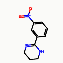 O=[N+]([O-])c1cccc(C2=NCCCN2)c1